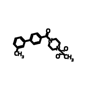 Cc1cccc(-c2ccc(C(=O)N3CCN(S(C)(=O)=O)CC3)cc2)c1